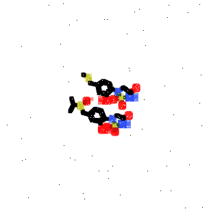 CC(C)[S+]([O-])Cc1ccc(N2CC(=O)NS2(=O)=O)c(O)c1.CSCc1ccc(N2CC(=O)NS2(=O)=O)c(O)c1